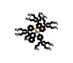 CCCC[Si](CCCC)(CCCC)c1ccc(P(c2ccc([Si](CCCC)(CCCC)CCCC)cc2)N(C2CCc3ccccc3C2)P(c2cccc([Si](CCCC)(CCCC)CCCC)c2)c2cccc([Si](CCCC)(CCCC)CCCC)c2)cc1